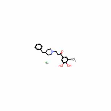 Cl.O=C(CCN1CCC(Cc2ccccc2)CC1)c1cc(O)c(O)c([N+](=O)[O-])c1